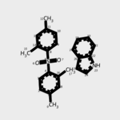 Cc1ccc(S(=O)(=O)c2ccc(C)cc2C)c(C)c1.c1ccc2[nH]ccc2c1